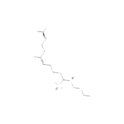 CCOC[PH](=O)C(CCC/C=C(/C)CCC=C(C)C)P(=O)(O)O